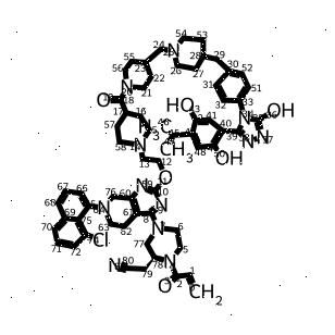 C=CC(=O)N1CCN(c2nc(OCCN3CCC(C(=O)N4CCC(CN5CCC(Cc6ccc(-n7c(O)nnc7-c7cc(O)c(C(C)C)cc7O)cc6)CC5)CC4)CC3)nc3c2CCN(c2cccc4cccc(Cl)c24)C3)C[C@@H]1CC#N